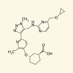 Cc1nc(-c2nnn(C)c2CNc2nccc(COC3CC3)n2)ccc1O[C@H]1CCC[C@H](C(=O)O)C1